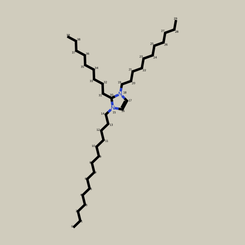 CCCCCCCCCCCCCCCN1C=CN(CCCCCCCCCCC)C1CCCCCCCCC